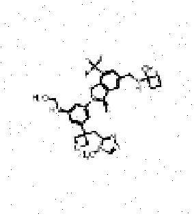 CCNc1cc(N2Cc3c(cc(CNC4(C)CCC4)cc3C(F)(F)F)C2=O)cc(C2(Cc3nncn3C)COC2)c1